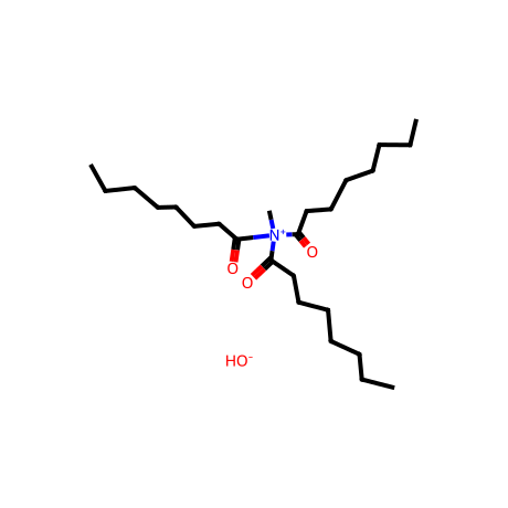 CCCCCCCC(=O)[N+](C)(C(=O)CCCCCCC)C(=O)CCCCCCC.[OH-]